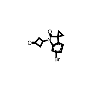 O=C1CC(N2C(=O)C3(CC3)c3ccc(Br)cc32)C1